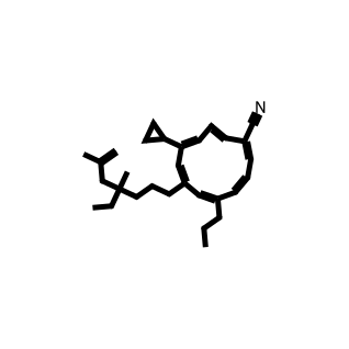 C=C(C)CC(C)(CC)CCCC1=C/C(C2CC2)=C/C=C/C(C#N)=C\C=C/C(CCC)=C\1